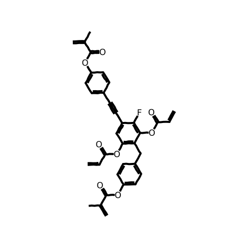 C=CC(=O)Oc1cc(C#Cc2ccc(OC(=O)C(=C)C)cc2)c(F)c(OC(=O)C=C)c1Cc1ccc(OC(=O)C(=C)C)cc1